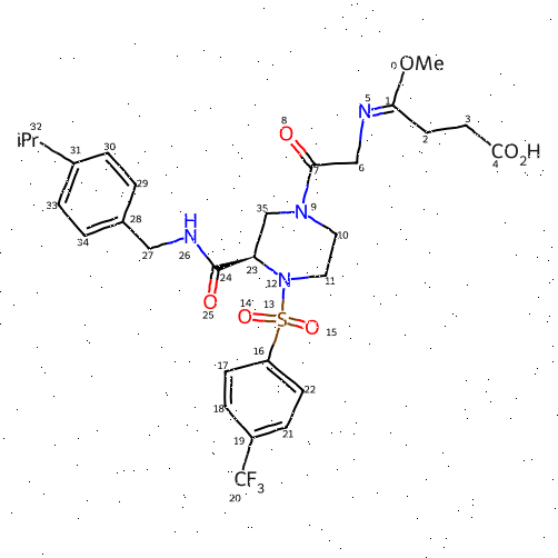 COC(CCC(=O)O)=NCC(=O)N1CCN(S(=O)(=O)c2ccc(C(F)(F)F)cc2)[C@@H](C(=O)NCc2ccc(C(C)C)cc2)C1